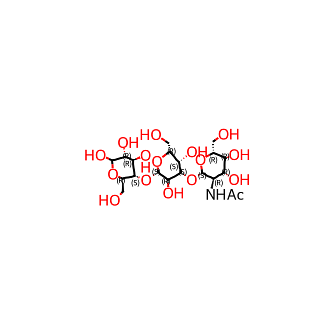 CC(=O)N[C@H]1[C@H](O[C@H]2[C@@H](O)[C@@H](CO)O[C@@H](O[C@H]3[C@H](O)[C@@H](O)C(O)O[C@@H]3CO)[C@@H]2O)O[C@H](CO)[C@H](O)[C@@H]1O